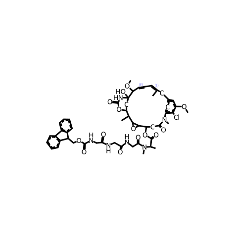 COc1cc2cc(c1Cl)N(C)C(=O)CC(OC(=O)C(C)N(C)C(=O)CNC(=O)CNC(=O)CNC(=O)OCC1c3ccccc3-c3ccccc31)C1OC1C(C)C1CC(O)(NC(=O)O1)C(OC)/C=C/C=C(\C)C2